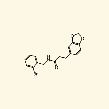 O=C(CCc1ccc2c(c1)OCO2)NCc1ccccc1Br